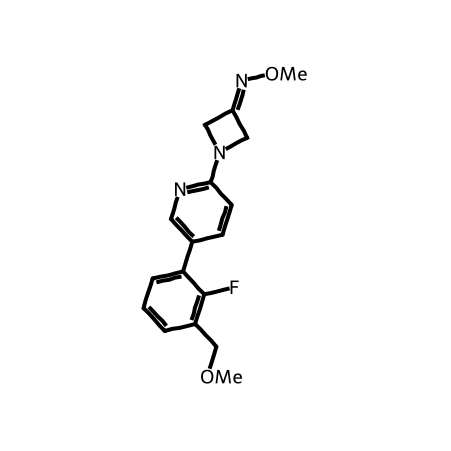 COCc1cccc(-c2ccc(N3CC(=NOC)C3)nc2)c1F